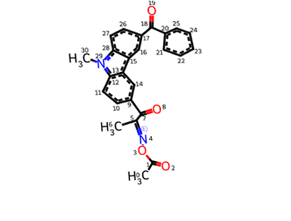 CC(=O)O/N=C(\C)C(=O)c1ccc2c(c1)c1cc(C(=O)c3ccccc3)ccc1n2C